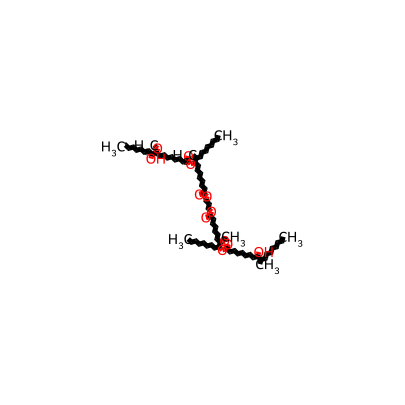 CCCCCCCCC(C)C(O)CCCCCCCC(=O)OC(CCCCCCCC)C(CCCCCCC(=O)OCCCOC(=O)CCCCCCCC(OC(=O)CCCCCCCC(OC)C(O)CCCCCCCC)C(C)CCCCCCCC)OC